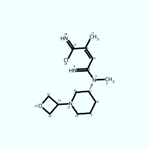 C/C(=C/C(=N)N(C)[C@@H]1CCCN(C2COC2)C1)C(=N)Cl